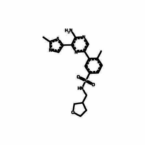 Cc1ncc(-c2nc(-c3cc(S(=O)(=O)NCC4CCOC4)ccc3C)cnc2N)s1